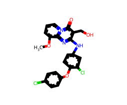 COc1cccn2c(=O)c(CO)c(Nc3ccc(Oc4ccc(Cl)cc4)c(Cl)c3)nc12